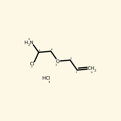 C=CCOCC(N)Cl.Cl